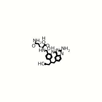 C#CCC(Cc1ccc2nc(N)nc(N)c2c1)c1ccc(C(=O)N[C@@H](CCC(N)=O)C(=O)O)cc1